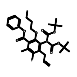 C=CCc1c(F)c(C)c(C(=O)Oc2ccccc2)c(OCCCC)c1N(C(=O)OC(C)(C)C)C(=O)OC(C)(C)C